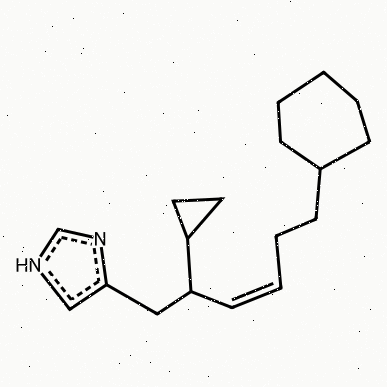 C(=C/C(Cc1c[nH]cn1)C1CC1)/CCC1CCCCC1